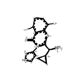 NC(c1nc2c(Cl)ccc(F)c2c(=O)n1-c1cc[nH]n1)C1CC1